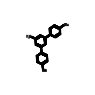 CC(C)(C)c1ccc(-c2[c]c(C(F)(F)F)cc(-c3ccc(C(C)(C)C)cc3)c2)cc1